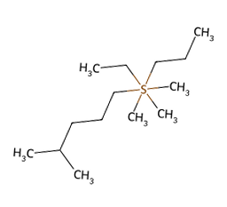 CCCS(C)(C)(C)(CC)CCCC(C)C